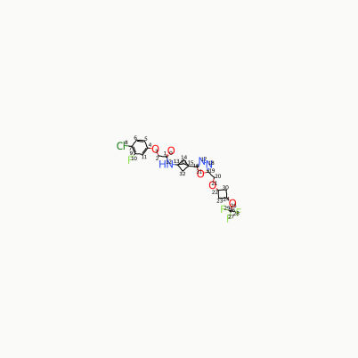 O=C(COc1ccc(Cl)c(F)c1)NC12CC(c3nnc(COC4CC(OC(F)(F)F)C4)o3)(C1)C2